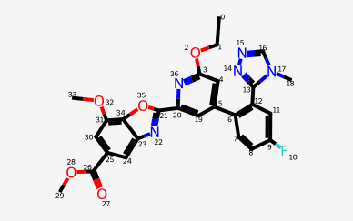 CCOc1cc(-c2ccc(F)cc2-c2nncn2C)cc(-c2nc3cc(C(=O)OC)cc(OC)c3o2)n1